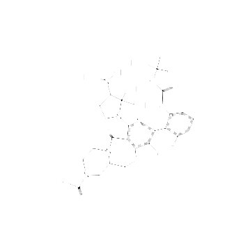 CN(C)C1CCN(c2nc(-c3c(F)cccc3OC(=O)OC(C)(C)C)c(Cl)c3c2C(=O)N2CCN(C(=O)O)CC2CO3)C1(C)C